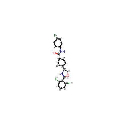 O=C(Nc1ccc(F)cc1)c1ccc(C2COC(c3c(F)cccc3F)=N2)cc1